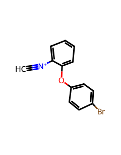 C#[N+]c1ccccc1Oc1ccc(Br)cc1